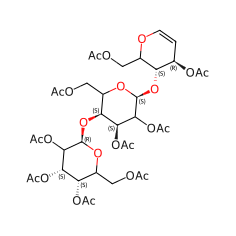 CC(=O)OCC1OC=C[C@@H](OC(C)=O)[C@@H]1O[C@@H]1OC(COC(C)=O)[C@H](O[C@H]2OC(COC(C)=O)[C@H](OC(C)=O)[C@H](OC(C)=O)C2OC(C)=O)[C@H](OC(C)=O)C1OC(C)=O